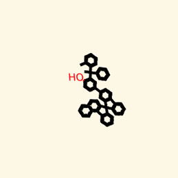 Cc1ccccc1C(C)(c1ccccc1)c1cc(-c2ccc3c(c2)C2(c4ccccc4-3)c3ccccc3-c3c2ccc2ccccc32)ccc1O